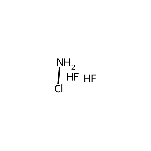 F.F.NCl